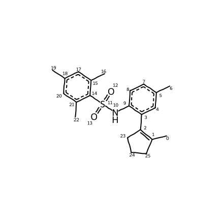 CC1=C(c2cc(C)ccc2NS(=O)(=O)c2c(C)cc(C)cc2C)CCC1